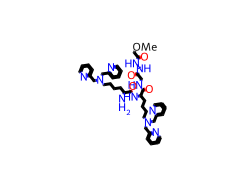 COCC(=O)NNC(=O)CNC(=O)C(CCCCN(Cc1ccc#cn1)Cc1cc#ccn1)NC(=O)C(N)CCCCN(Cc1ccccn1)Cc1ccccn1